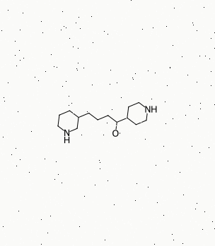 [O]C(CCCC1CCCNC1)C1CCNCC1